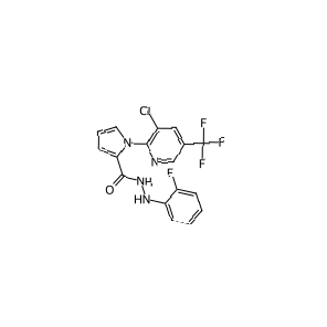 O=C(NNc1ccccc1F)c1cccn1-c1ncc(C(F)(F)F)cc1Cl